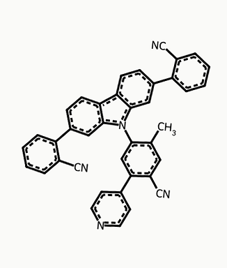 Cc1cc(C#N)c(-c2ccncc2)cc1-n1c2cc(-c3ccccc3C#N)ccc2c2ccc(-c3ccccc3C#N)cc21